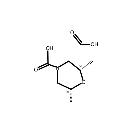 C[C@@H]1CN(C(=O)O)C[C@H](C)O1.O=CO